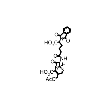 CC(=O)OCC1=C(C(=O)O)N2C(=O)[C@@H](NC(=O)CCCC(C(=O)O)N3C(=O)c4ccccc4C3=O)[C@@H]2SC1